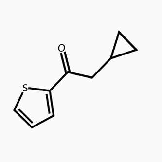 O=C(CC1CC1)c1cccs1